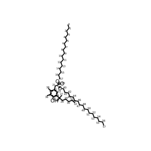 CCCCCCCCCCCCCCCCCCOP(=O)(Cc1cc(C(C)(C)CCCCC)c(O)c(C)c1C)OCCCCCCCCCCCCCCCCCC